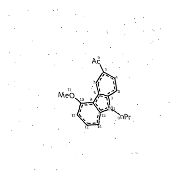 CCCn1c2ccc(C(C)=O)cc2c2c(OC)cccc21